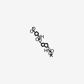 COC(=O)c1ccc(NC(=O)OCc2ccc3cc(CNC(=O)OC(C)(C)C)ccc3c2)cc1